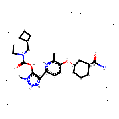 CCN(CC1CCC1)C(=O)Oc1c(-c2ccc(O[C@H]3CCC[C@H](C(N)=O)C3)c(C)n2)nnn1C